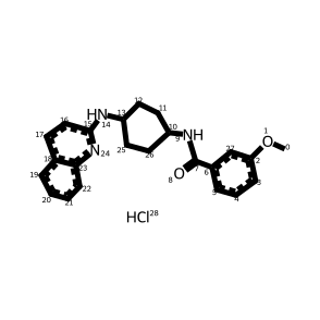 COc1cccc(C(=O)NC2CCC(Nc3ccc4ccccc4n3)CC2)c1.Cl